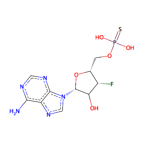 Nc1ncnc2c1ncn2[C@@H]1O[C@H](COP(O)(O)=S)[C@H](F)C1O